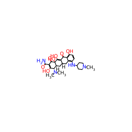 CN1CCC(Nc2ccc(O)c3c2C[C@@H]2C[C@H]4[C@H](N(C)C)C(O)=C(C(N)=O)C(=O)[C@]4(O)C(O)=C2C3=O)CC1